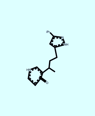 CC(C)c1cc(CCC(C)c2c[nH]ccc2=O)[nH]n1